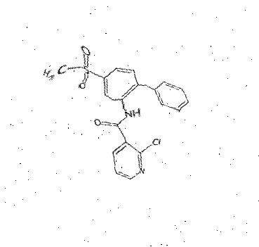 CS(=O)(=O)c1ccc(-c2ccccc2)c(NC(=O)c2cccnc2Cl)c1